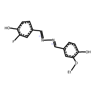 CCOc1cc(/C=N/N=C/c2ccc(O)c(F)c2)ccc1O